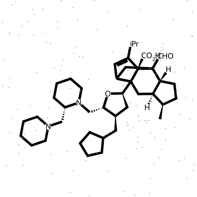 CC(C)C1=CC2CC3(C=O)[C@@H]4CC[C@@H](C)[C@H]4CC2([C@H]2C[C@@H](CC4CCCC4)[C@H](CN4CCCC[C@H]4CN4CCCCC4)O2)[C@]13C(=O)O